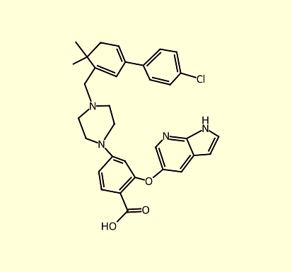 CC1(C)CC=C(c2ccc(Cl)cc2)C=C1CN1CCN(c2ccc(C(=O)O)c(Oc3cnc4[nH]ccc4c3)c2)CC1